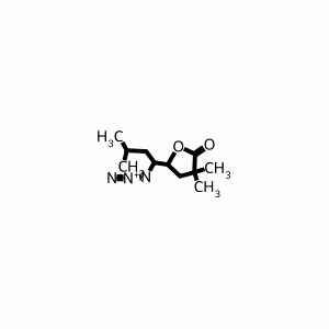 CC(C)CC(N=[N+]=[N-])C1CC(C)(C)C(=O)O1